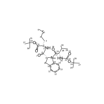 CSCC[C@H](NC(=O)[C@H]1Cc2ccccc2N1C(=O)[C@@H](NC(=O)OC(C)(C)C)C(C)C)C(=O)OC(C)(C)C